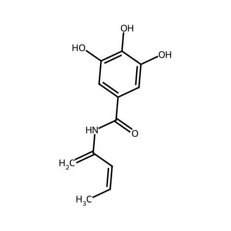 C=C(/C=C\C)NC(=O)c1cc(O)c(O)c(O)c1